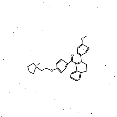 COc1ccc(C2=C(C(=O)c3ccc(OCC[N+]4(C)CCCC4)cc3)c3ccccc3CC2)cc1